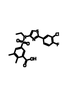 CCN(c1csc(-c2ccc(F)c(Cl)c2)n1)S(=O)(=O)c1cc(C)c(C)c(C(=O)O)c1